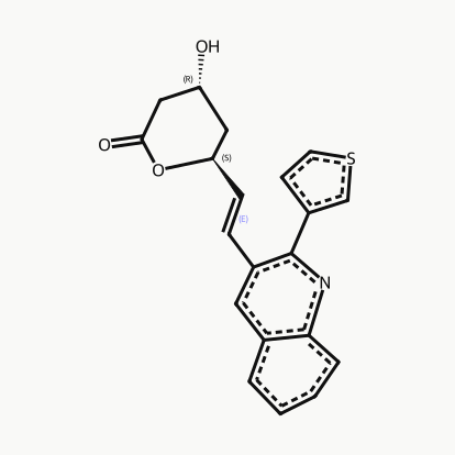 O=C1C[C@H](O)C[C@@H](/C=C/c2cc3ccccc3nc2-c2ccsc2)O1